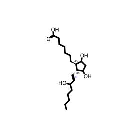 CCCCCC(O)/C=C/[C@H]1C(O)CC(O)[C@@H]1CCCCCCC(=O)O